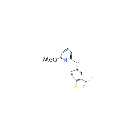 COc1cccc([CH]c2ccc(F)c(C(F)F)c2)n1